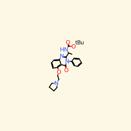 CC(NC(=O)OC(C)(C)C)c1nc2cccc(OCCN3CCCC3)c2c(=O)n1-c1ccccc1